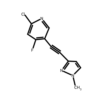 Cn1ccc(C#Cc2cnc(Cl)cc2F)n1